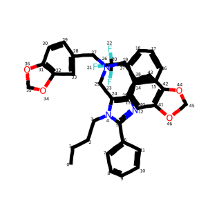 CCCCn1c(-c2ccccc2)nc(-c2ccccc2C(F)(F)F)c1CN(Cc1ccc2c(c1)OCO2)Cc1ccc2c(c1)OCO2